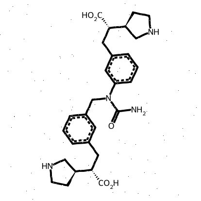 NC(=O)N(Cc1cccc(C[C@H](C(=O)O)[C@H]2CCNC2)c1)c1cccc(C[C@H](C(=O)O)[C@H]2CCNC2)c1